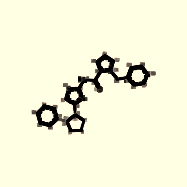 O=C(Nc1nc([C@H]2CCC[C@@H]2c2ccccc2)cs1)c1cccn1Cc1ccncc1